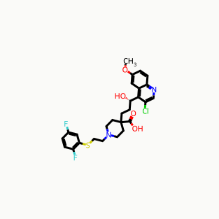 COc1ccc2ncc(Cl)c([C@@H](O)CCC3(C(=O)O)CCN(CCSc4cc(F)ccc4F)CC3)c2c1